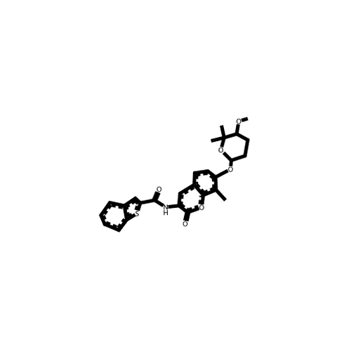 COC1CCC(Oc2ccc3cc(NC(=O)c4cc5ccccc5s4)c(=O)oc3c2C)OC1(C)C